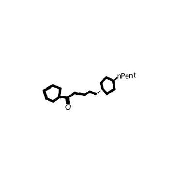 CCCCC[C@H]1CC[C@H](CCCCC(=O)C2CCCCC2)CC1